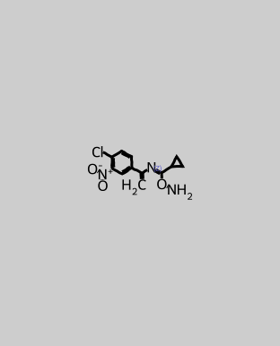 C=C(/N=C(\ON)C1CC1)c1ccc(Cl)c([N+](=O)[O-])c1